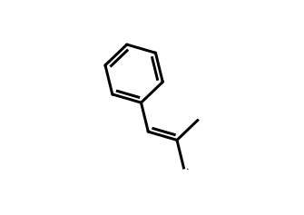 [CH2]/C(C)=C/c1ccccc1